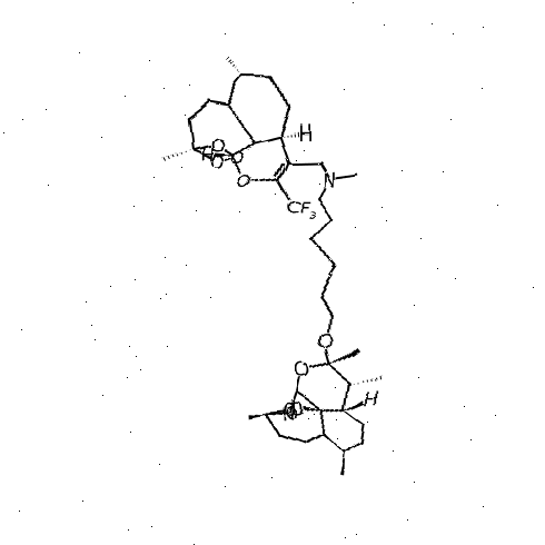 C[C@@H]1CC[C@H]2C(CN(C)CCCCCCO[C@@]3(C)O[C@@H]4O[C@]5(C)CCC6[C@H](C)CC[C@@H]([C@H]3C)[C@]64OO5)=C(C(F)(F)F)O[C@@H]3O[C@]4(C)CCC1[C@]32OO4